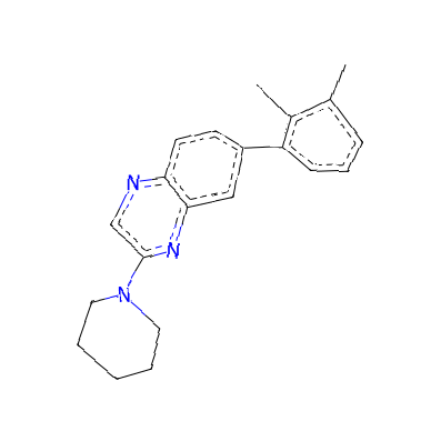 Cc1cccc(-c2ccc3ncc(N4CCCCC4)nc3c2)c1C